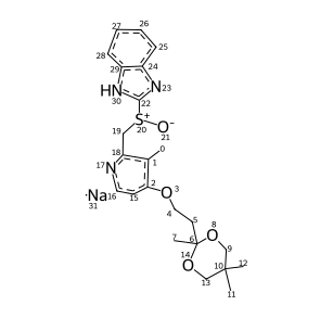 Cc1c(OCCC2(C)OCC(C)(C)CO2)ccnc1C[S+]([O-])c1nc2ccccc2[nH]1.[Na]